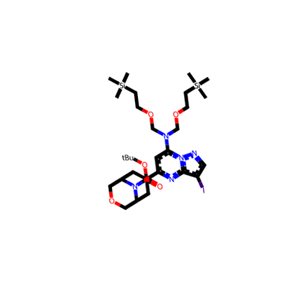 CC(C)(C)OC(=O)N1C2COCC1CC(c1cc(N(COCC[Si](C)(C)C)COCC[Si](C)(C)C)n3ncc(I)c3n1)C2